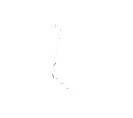 CCCCC/C=C\CC=CCCCCCCCCO